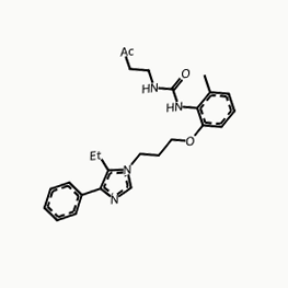 CCc1c(-c2ccccc2)ncn1CCCOc1cccc(C)c1NC(=O)NCCC(C)=O